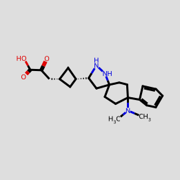 CN(C)C1(c2ccccc2)CCC2(CC1)CC([C@H]1C[C@@H](CC(=O)C(=O)O)C1)NN2